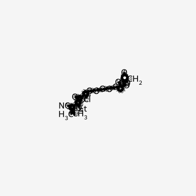 C=C1CC(=O)CCC(N2C(=O)C3=C(C2=O)C(OCCOCCOCCOCCOc2ccc(-c4cc(=O)c5cc(-c6cc(C#N)cc(N(C)C)c6)c(OCC)cc5o4)c(Cl)c2)CCC3)C1=O